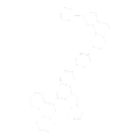 c1ccc(-c2ccc3ccc4ccc(-c5ccc(-c6ccc7nc(-c8cc9ccccc9c9ccccc89)c8c9ccccc9sc8c7c6)cc5)nc4c3n2)cc1